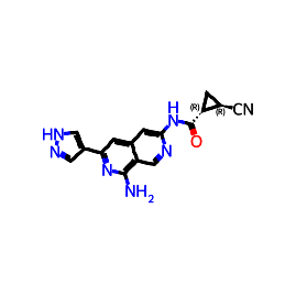 N#C[C@@H]1C[C@H]1C(=O)Nc1cc2cc(-c3cn[nH]c3)nc(N)c2cn1